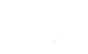 CCCCCCCCCCCCc1[c]scc1